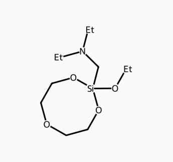 CCO[Si]1(CN(CC)CC)OCCOCCO1